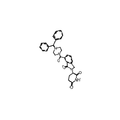 O=C1CCC(N2Cc3cccc(C(=O)N4CCN(C(c5ccccc5)c5ccccc5)CC4)c3C2=O)C(=O)N1